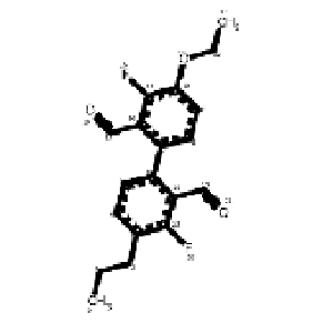 CCCc1ccc(-c2ccc(OCC)c(F)c2C=O)c(C=O)c1F